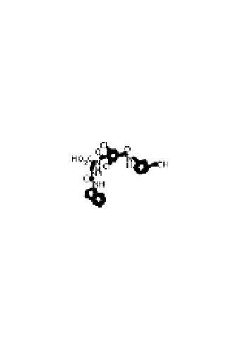 C#Cc1cccc(CNC(=O)c2cc(Cl)c(C(=O)NC(CNC(=O)NC3CCc4ccccc43)C(=O)O)c(Cl)c2)c1